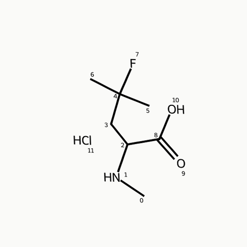 CNC(CC(C)(C)F)C(=O)O.Cl